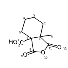 CC12CCCCC1(C(=O)O)C(=O)OC2=O